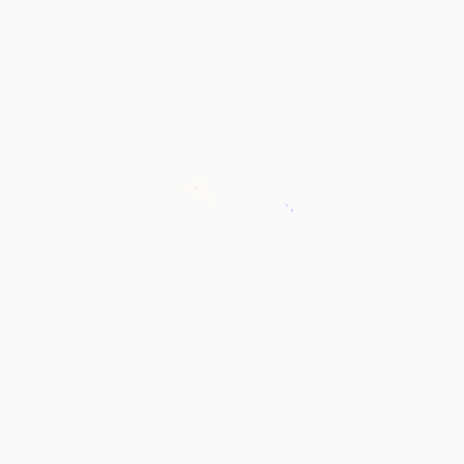 CC(C)(C)N1CCCC1(COC1CC1)c1ccccc1C1CC1